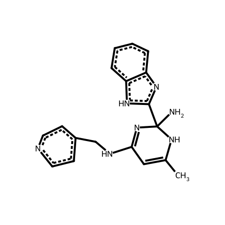 CC1=CC(NCc2ccncc2)=NC(N)(c2nc3ccccc3[nH]2)N1